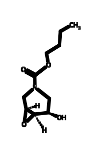 CCCCOC(=O)N1C[C@@H](O)[C@H]2O[C@H]2C1